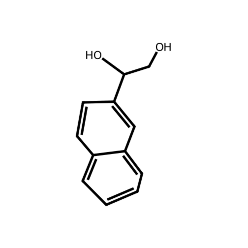 OCC(O)c1ccc2ccccc2c1